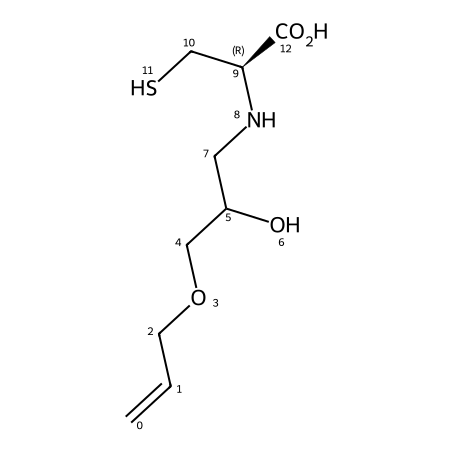 C=CCOCC(O)CN[C@@H](CS)C(=O)O